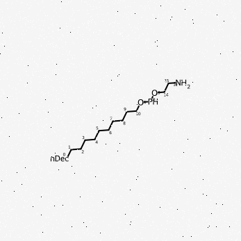 CCCCCCCCCCCCCCCCCCCCOPOCCN